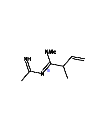 C=CC(C)/C(=N/C(C)=N)NC